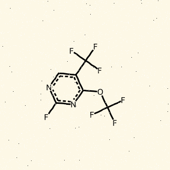 Fc1ncc(C(F)(F)F)c(OC(F)(F)F)n1